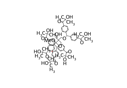 COC(c1ccc(C(=O)C(C)(C)O)cc1)(c1ccc(C(=O)C(C)(C)O)cc1)C(CO)(COC(c1ccc(C(=O)C(C)(C)O)cc1)c1ccc(C(=O)C(C)(C)O)cc1)COC(c1ccc(C(=O)C(C)(C)O)cc1)c1ccc(C(=O)C(C)(C)O)cc1